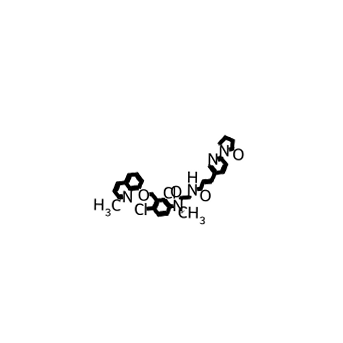 Cc1ccc2cccc(OCc3c(Cl)ccc(N(C)C(=O)CNC(=O)C=Cc4ccc(N5CCCC5=O)nc4)c3Cl)c2n1